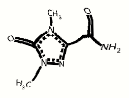 Cn1nc(C(N)=O)n(C)c1=O